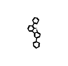 c1ccc(-c2ccc3sc4c(-c5ccccc5)cccc4c3c2)cc1